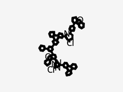 ClC1=CCC(c2ccc(-c3cccc4oc5ccccc5c34)cc2)=NC(c2ccc3c4ccccc4c4cc(-c5cc(-c6ccccc6)cc(-c6ccc(-c7nc(Cl)nc(-c8ccc9c%10ccccc%10c%10ccccc%10c9c8)n7)c7c6oc6ccccc67)c5)ccc4c3c2)=C1